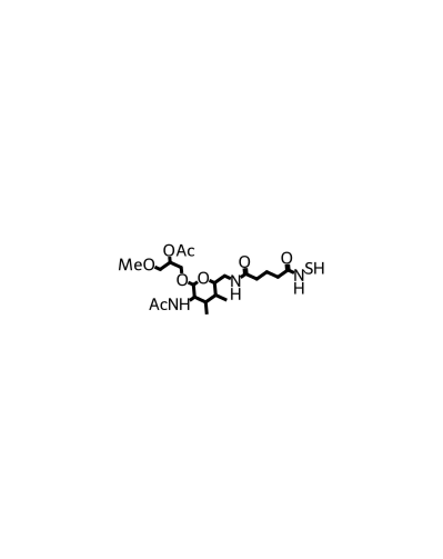 COCC(COC1OC(CNC(=O)CCCC(=O)NS)C(C)C(C)C1NC(C)=O)OC(C)=O